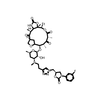 CC[C@H]1OC(=O)[C@H](C)C(=O)[C@H](C)[C@@H](O[C@@H]2O[C@H](C)C[C@H](N(C)CCc3cn(C[C@H]4CN(c5cccc(F)c5)C(=O)O4)nn3)[C@H]2O)[C@@]2(C)C[C@@H](CO2)C(=O)[C@@H](C)[C@H]2NC(=O)O[C@@]21C